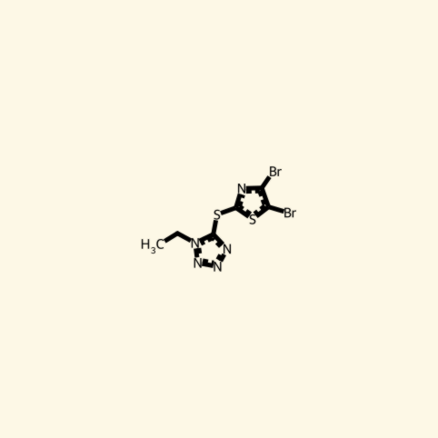 CCn1nnnc1Sc1nc(Br)c(Br)s1